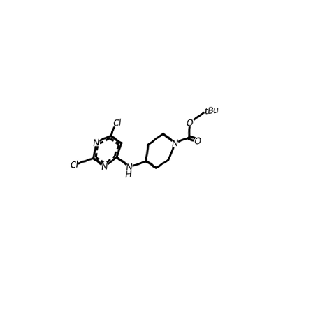 CC(C)(C)OC(=O)N1CCC(Nc2cc(Cl)nc(Cl)n2)CC1